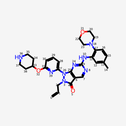 C=CCn1c(=O)c2cnc(Nc3cc(C)ccc3N3CCOCC3)nc2n1-c1cccc(OC2CCNCC2)n1